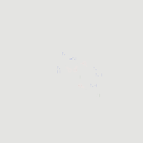 O=C(N[C@@H]1N=C(c2ccccc2)c2ccccc2NC1=O)Oc1n[nH]c(NC(=O)c2ccccc2Cl)c1Cl